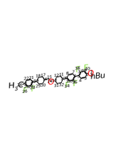 CCCCOc1ccc(-c2ccc(C3CCC(OCC4CCC(c5ccc(C)c(F)c5F)CC4)CC3)c(F)c2F)c(F)c1F